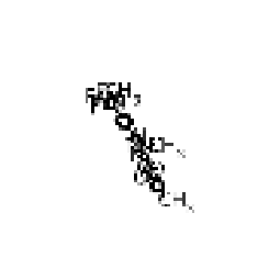 Cc1ccc(S(=O)(=O)OCc2nn3cc(-c4ccc(-c5cc(C(F)(F)F)n(C)n5)cc4)nc3n2C)cc1